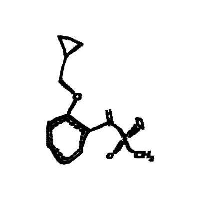 CS(=O)(=O)Nc1ccccc1OCC1CC1